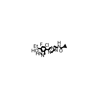 CC[C@@H](O)c1c(F)c(Cl)c(-c2cn3cc(NC(=O)C4CC4)nc3cn2)c2cn[nH]c12